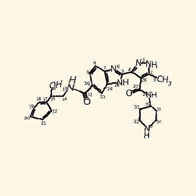 Cc1[nH]nc(-c2nc3ccc(C(=O)NCC(O)c4ccccc4)cc3[nH]2)c1C(=O)NC1CCNCC1